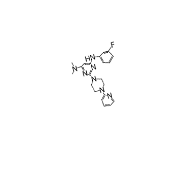 CN(C)c1cc(Nc2cccc(F)c2)nc(N2CCN(c3ccccn3)CC2)n1